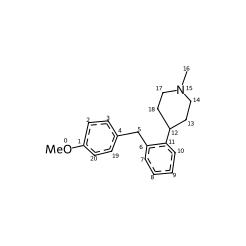 COc1ccc(Cc2ccccc2C2CCN(C)CC2)cc1